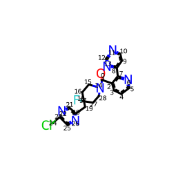 O=C(c1cccnc1-c1ccncn1)N1CCC(F)(Cc2cnc(Cl)cn2)CC1